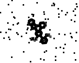 Cc1ccccc1-c1cc2c3cnccc3n3c4cccnc4nc3c2cc1C